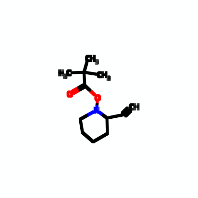 C#CC1CCCCN1OC(=O)C(C)(C)C